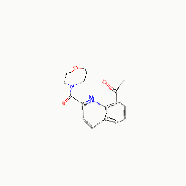 CC(=O)c1cccc2ccc(C(=O)N3CCOCC3)nc12